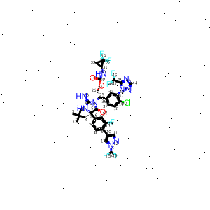 CC(C)(C)C[C@]1(c2ccc(-c3cnn(C(F)F)c3)c(F)c2)NC(=N)N([C@H](COC(=O)N[C@H]2CC2(F)F)c2ccc(Cl)c(-n3ncnc3C(F)F)c2)C1=O